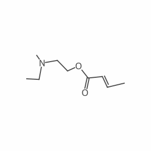 C/C=C/C(=O)OCCN(C)CC